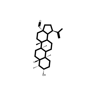 C=C(C)[C@@H]1CC[C@]2(C=O)CC[C@]3(C)C(CCC4[C@@]5(C)CC[C@H](O)[C@H](C)[C@@H]5CC[C@]43C)C12